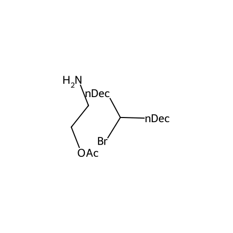 CC(=O)OCCN.CCCCCCCCCCC(Br)CCCCCCCCCC